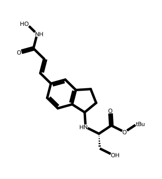 CC(C)(C)OC(=O)[C@H](CO)NC1CCc2cc(C=CC(=O)NO)ccc21